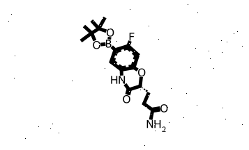 CC1(C)OB(c2cc3c(cc2F)O[C@H](CCC(N)=O)C(=O)N3)OC1(C)C